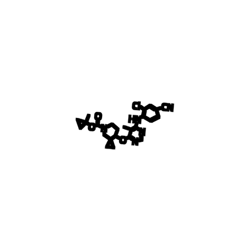 Cc1c(Nc2ccc(C#N)cc2Cl)ncnc1OC1CCN(C(=O)OC2(C)CC2)CC12CC2